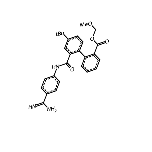 COCOC(=O)c1ccccc1-c1ccc(C(C)(C)C)cc1C(=O)Nc1ccc(C(=N)N)cc1